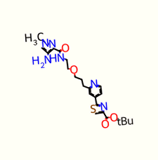 Cn1cc(N)c(C(=O)NCCOCCCc2cc(-c3nc(C(=O)OC(C)(C)C)cs3)ccn2)n1